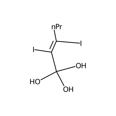 CCCC(I)=C(I)C(O)(O)O